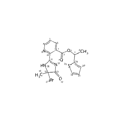 CC(OC(=O)c1cccnc1C1=NC(=O)C(C)(C(C)C)N1)c1cccs1